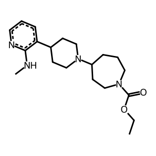 CCOC(=O)N1CCCC(N2CCC(c3cccnc3NC)CC2)CC1